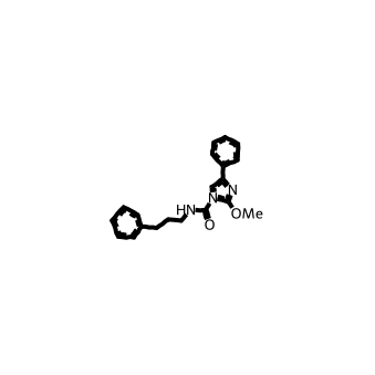 COc1nc(-c2ccccc2)cn1C(=O)NCCCc1ccccc1